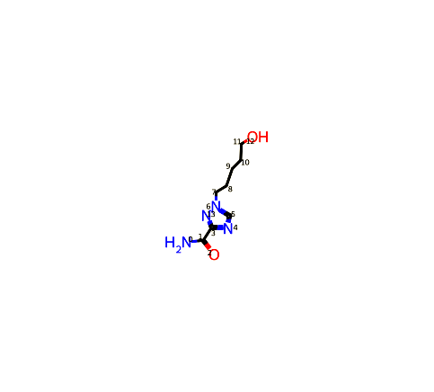 NC(=O)c1ncn(CCCCCO)n1